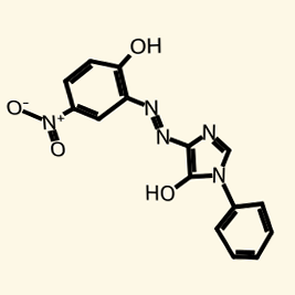 O=[N+]([O-])c1ccc(O)c(N=Nc2ncn(-c3ccccc3)c2O)c1